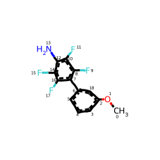 COc1cccc(-c2c(F)c(F)c(N)c(F)c2F)c1